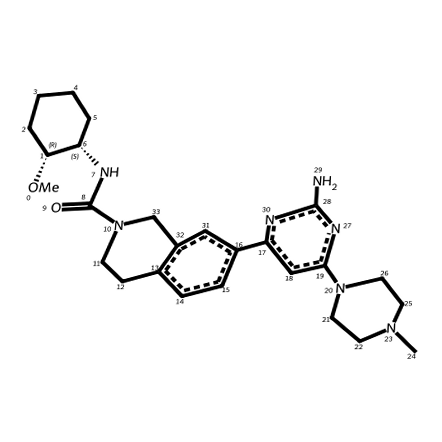 CO[C@@H]1CCCC[C@@H]1NC(=O)N1CCc2ccc(-c3cc(N4CCN(C)CC4)nc(N)n3)cc2C1